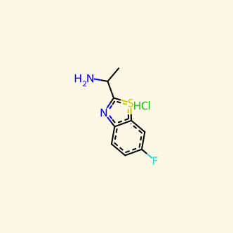 CC(N)c1nc2ccc(F)cc2s1.Cl